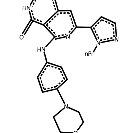 CCCn1nccc1-c1cc2cc[nH]c(=O)c2c(Nc2ccc(N3CCOCC3)cc2)n1